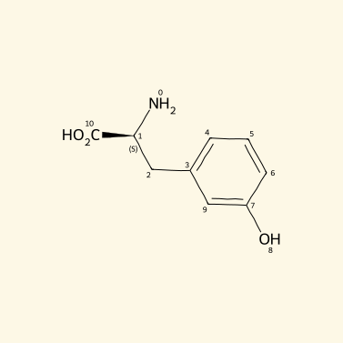 N[C@@H](Cc1cccc(O)c1)C(=O)O